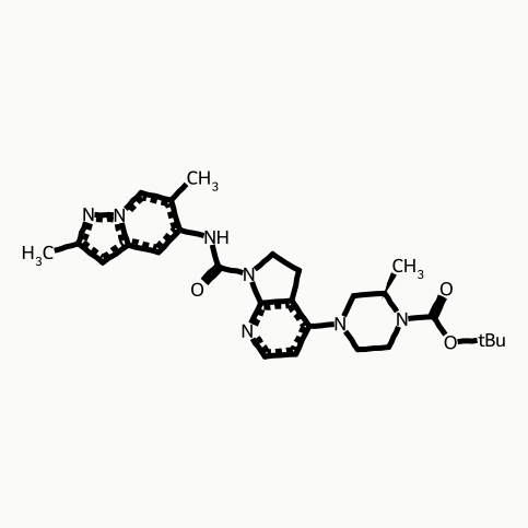 Cc1cc2cc(NC(=O)N3CCc4c(N5CCN(C(=O)OC(C)(C)C)[C@H](C)C5)ccnc43)c(C)cn2n1